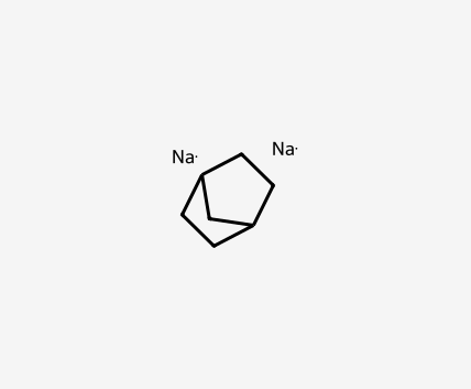 C1CC2CCC1C2.[Na].[Na]